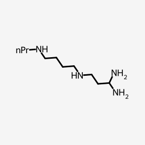 CCCNCCCCNCCC(N)N